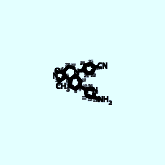 Cc1noc2c1-c1ccc(-c3ccc(N)nc3)cc1N(c1ccc(C#N)cc1)CC2